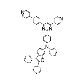 c1ccc(-c2oc3c(ccc4c3c3ccccc3n4-c3ccc(-c4nc(-c5ccncc5)cc(-c5ccc(-c6ccncc6)cc5)n4)cc3)c2-c2ccccc2)cc1